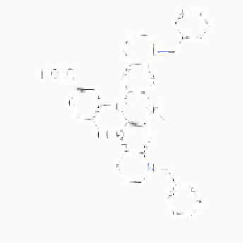 C[Si]1(C)c2cc3c(cc2[C+](c2cc(C(=O)O)ccc2C(=O)[O-])c2cc4c(cc21)N(Cc1ccccc1)CCC4)CCCN3Cc1ccccc1